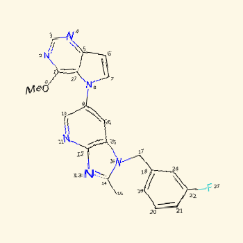 COc1ncnc2ccn(-c3cnc4nc(C)n(Cc5cccc(F)c5)c4c3)c12